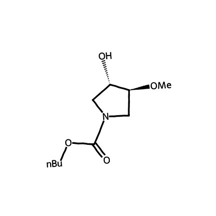 CCCCOC(=O)N1C[C@H](OC)[C@@H](O)C1